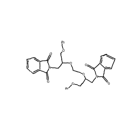 CC(C)OCC(CN1C(=O)c2ccccc2C1=O)OCOC(COC(C)C)CN1C(=O)c2ccccc2C1=O